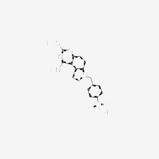 CS(=O)(=O)c1ccc(Cn2ccc3c4c(N)nc(N)nc4ccc32)cc1